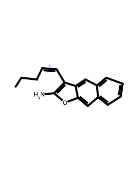 CCC/C=C\c1c(N)oc2cc3ccccc3cc12